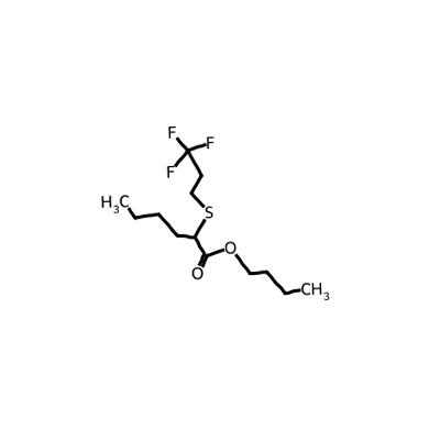 CCCCOC(=O)C(CCCC)SCCC(F)(F)F